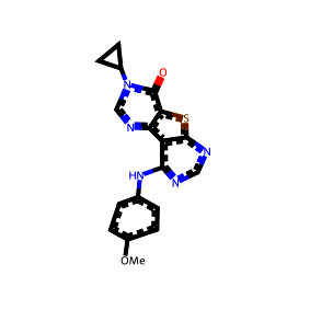 COc1ccc(Nc2ncnc3sc4c(=O)n(C5CC5)cnc4c23)cc1